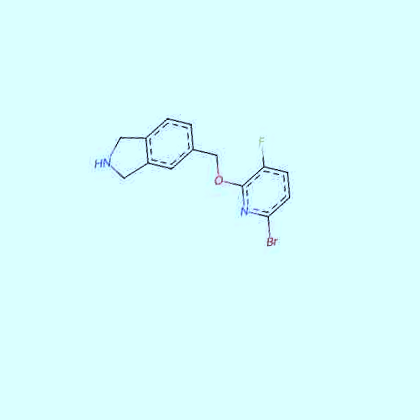 Fc1ccc(Br)nc1OCc1ccc2c(c1)CNC2